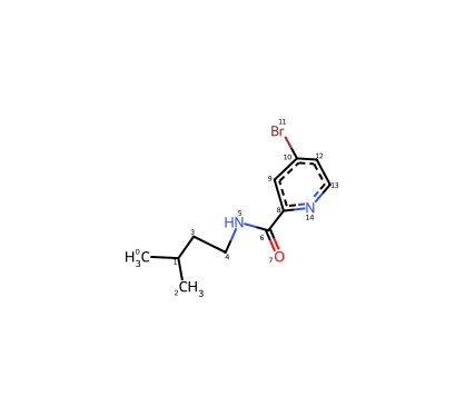 CC(C)CCNC(=O)c1cc(Br)ccn1